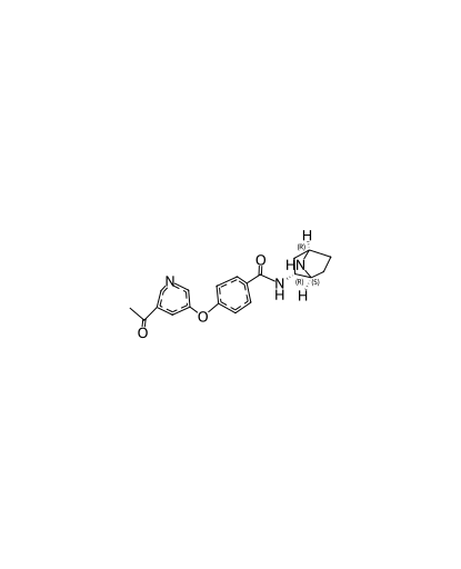 CC(=O)c1cncc(Oc2ccc(C(=O)N[C@@H]3C[C@H]4CC[C@@H]3N4)cc2)c1